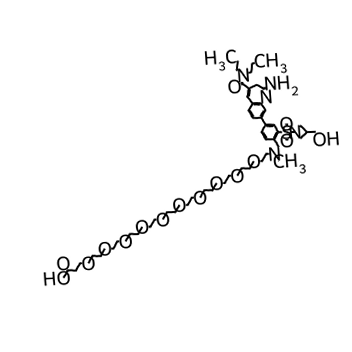 CCCN(CCC)C(=O)C1=Cc2ccc(-c3ccc(CN(C)CCOCCOCCOCCOCCOCCOCCOCCOCCOCCOCCC(=O)O)c(S(=O)(=O)N4CC(CO)C4)c3)cc2N=C(N)C1